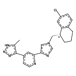 Cc1[nH]nnc1-c1ccnc(-c2cn(C[C@H]3CCCc4ccc(Cl)cc43)cn2)c1